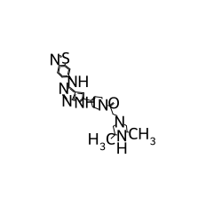 CC1CN(CCC(=O)N2CC=C(c3cc4c(Nc5ccc6ncsc6c5)ncnc4[nH]3)CC2)CC(C)N1